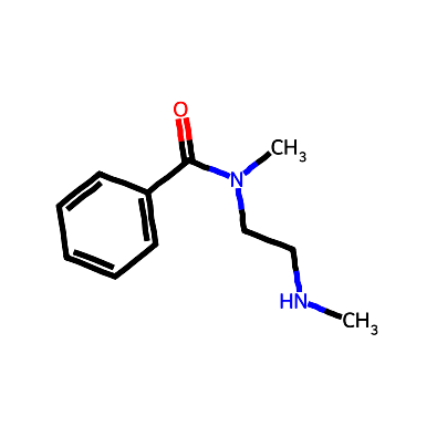 CNCCN(C)C(=O)c1ccccc1